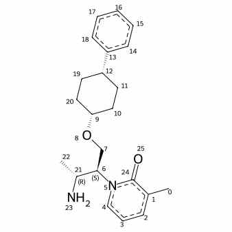 Cc1cccn([C@H](CO[C@H]2CC[C@@H](c3ccccc3)CC2)[C@@H](C)N)c1=O